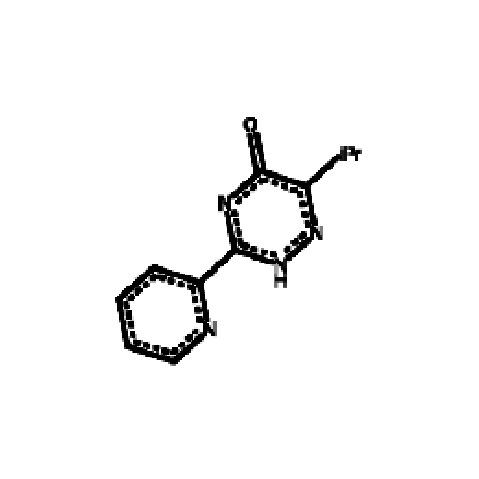 CC(C)c1n[nH]c(-c2ccccn2)nc1=O